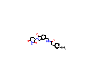 Bc1ccc(CC(=O)NCc2ccc3c(c2)CN(C2CCC(=O)NC2=O)C3=O)cc1